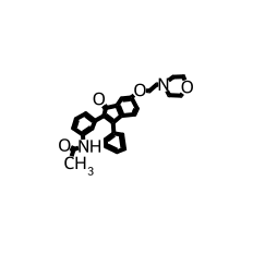 CC(=O)Nc1cccc(C2=C(c3ccccc3)c3ccc(OCCN4CCOCC4)cc3C2=O)c1